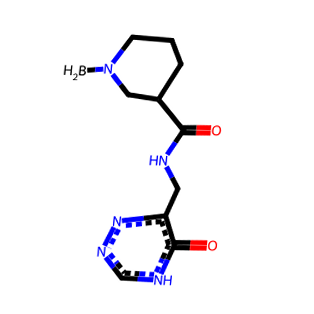 BN1CCCC(C(=O)NCc2nnc[nH]c2=O)C1